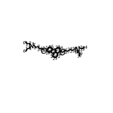 C=CCN(CC=C)CCCCCOc1ccc2c(c1)-c1cccc3c(OCCCCCN(CC=C)CC=C)ccc-2c13